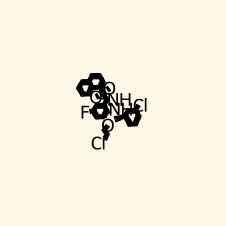 N=C(c1cc(F)cc(OCCCl)c1NCc1cccc(Cl)c1)S(=O)(=O)c1cccc2ccccc12